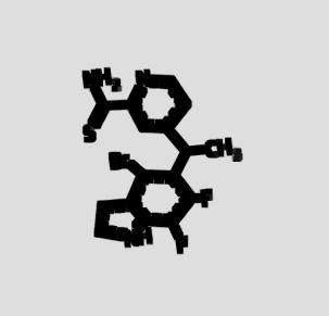 CC(c1ccnc(C(N)=S)c1)c1c(F)c(F)c2[nH]ccc2c1Br